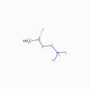 CN(C)CCC(F)C(=O)O